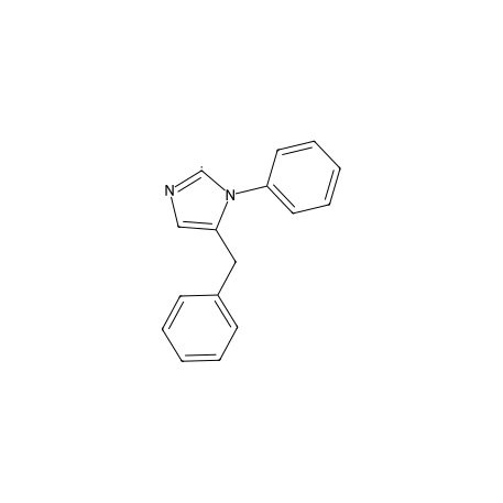 [c]1ncc(Cc2ccccc2)n1-c1ccccc1